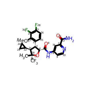 COc1c([C@@H]2[C@H](C(=O)Nc3ccnc(C(N)=O)c3)O[C@](C)(C(F)(F)F)[C@H]2C2CC2)ccc(F)c1F